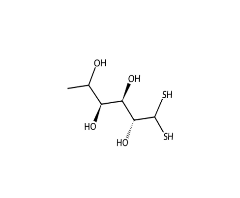 CC(O)[C@H](O)[C@@H](O)[C@@H](O)C(S)S